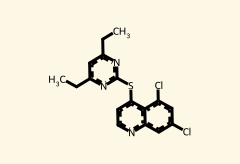 CCc1cc(CC)nc(Sc2ccnc3cc(Cl)cc(Cl)c23)n1